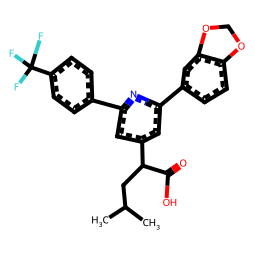 CC(C)CC(C(=O)O)c1cc(-c2ccc(C(F)(F)F)cc2)nc(-c2ccc3c(c2)OCO3)c1